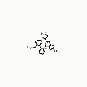 C=CC(=O)N1Cc2sc(C)cc2[C@@H](c2ccccc2-c2cncnc2CC)C1